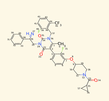 Cc1c(-c2cccc(OC3CCN(C(=O)C4CC4)CC3)c2F)c(=O)n(CC(N)c2ccccc2)c(=O)n1Cc1c(F)cccc1C(F)(F)F